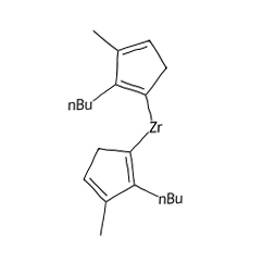 CCCCC1=[C]([Zr][C]2=C(CCCC)C(C)=CC2)CC=C1C